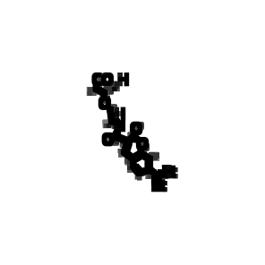 CCN(CC)c1ccc2cc(C(=O)NCCOCCC(=O)O)c(=O)oc2c1